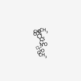 COC(=O)C1(CN2Cc3c(sc4cc(OC)c(OC)cc34)C2=O)CCC1